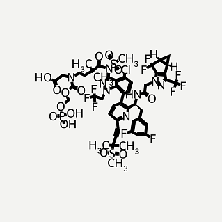 CC(C)(CCN(CC(=O)O)C(=O)OCOP(=O)(O)O)C(=O)N(c1nn(CC(F)(F)F)c2c(-c3ccc(C#CC(C)(C)S(C)(=O)=O)nc3[C@H](Cc3cc(F)cc(F)c3)NC(=O)Cn3nc(C(F)(F)F)c4c3C(F)(F)[C@@H]3C[C@H]43)ccc(Cl)c12)S(C)(=O)=O